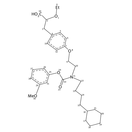 CCOC(Cc1ccc(OCCN(CCCCC2CCCCC2)C(=O)Oc2cccc(OC)c2)cc1)C(=O)O